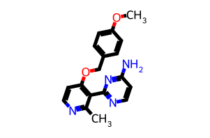 COc1ccc(COc2ccnc(C)c2-c2nccc(N)n2)cc1